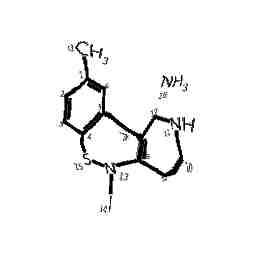 Cc1ccc2c(c1)C1=C(CCNC1)N(I)S2.N